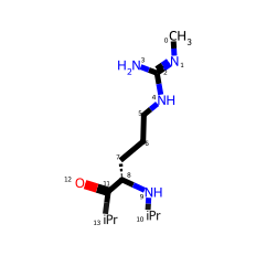 C/N=C(\N)NCCC[C@H](NC(C)C)C(=O)C(C)C